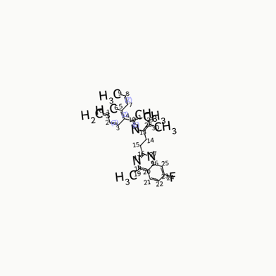 C=C\C=C/C(=C(C)/C=C\C)C(/C)=N/C(CCc1nc(C)c2ccc(F)cc2n1)=C(C)C